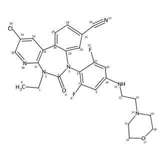 CCN1C(=O)N(c2c(F)cc(NCCN3CCOCC3)cc2F)c2cc(C#N)ccc2-c2cc(Cl)cnc21